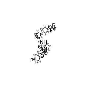 O=C(NCc1cc(-c2ccc(OC(F)(F)F)cc2)ccn1)[C@@H]1CCCN1S(=O)(=O)c1cc2cc(F)ccc2o1